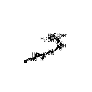 CP(=O)(O)OP(=O)(O)OP(=O)(O)OC[C@H]1O[C@@H](n2cc(C#CCNC(=O)COCCOC(COc3cccc(C(=O)NCCNCC4CCC4)c3)N=[N+]=[N-])c(=O)[nH]c2=O)CC1OCN=[N+]=[N-]